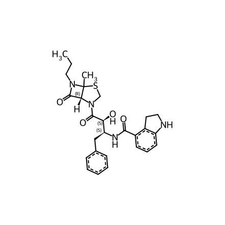 CCCN1C(=O)[C@H]2N(C(=O)[C@@H](O)[C@H](Cc3ccccc3)NC(=O)c3cccc4c3CCN4)CSC21C